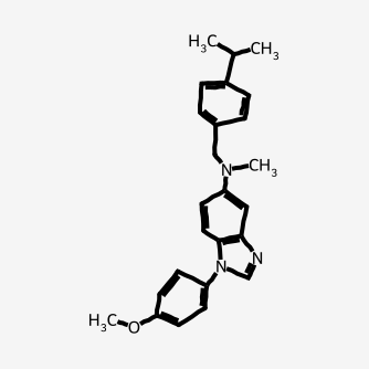 COc1ccc(-n2cnc3cc(N(C)Cc4ccc(C(C)C)cc4)ccc32)cc1